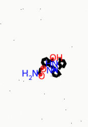 Cc1cccc(C)c1Nc1c(-c2c(CO)cccc2OCC(N)=O)nc2ccccn12